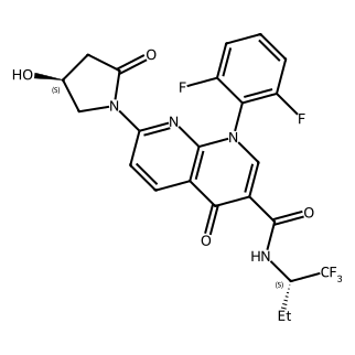 CC[C@H](NC(=O)c1cn(-c2c(F)cccc2F)c2nc(N3C[C@@H](O)CC3=O)ccc2c1=O)C(F)(F)F